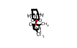 Cc1nc(C(F)(F)F)ccc1S(=O)(=O)N1[C@@H]2CC[C@H]1CC(CC(N)=O)C2